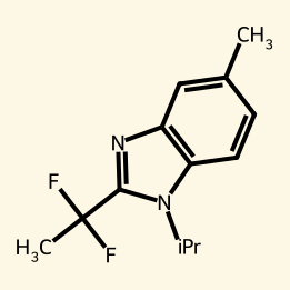 Cc1ccc2c(c1)nc(C(C)(F)F)n2C(C)C